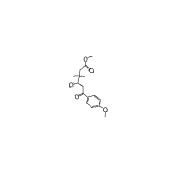 COC(=O)CC(C)(C)C(Cl)CC(=O)c1ccc(OC)cc1